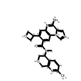 CN(C(=O)c1cc2c(cc1C1COC1)nc(N)c1cncn12)C1COCc2nc(C(F)(F)F)ccc21